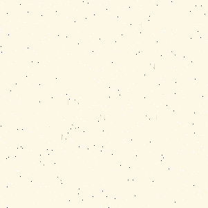 CC1(CO)CC(=O)N=CN1c1cc2cc(Nc3cc4n(n3)Cc3nccn3CC4)ncc2c(N)c1F